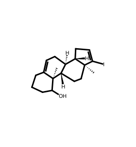 C[C@]12CC[C@H]3[C@@H](CC=C4CCCC(O)[C@@]43C)[C@@H]1CC=C2I